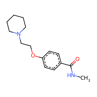 CNC(=O)c1ccc(OCCN2CCCCC2)cc1